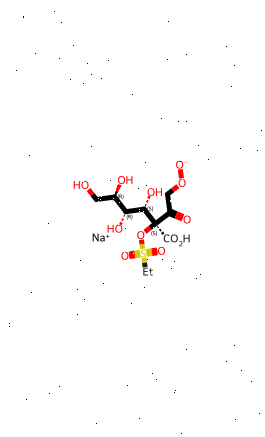 CCS(=O)(=O)O[C@](C(=O)O)(C(=O)CO[O-])[C@@H](O)[C@H](O)[C@H](O)CO.[Na+]